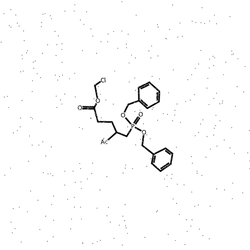 CC(=O)C(CCC(=O)OCCl)CP(=O)(OCc1ccccc1)OCc1ccccc1